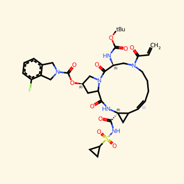 C=CC(=O)N1CCC/C=C\C2C[C@@]2(C(=O)NS(=O)(=O)C2CC2)NC(=O)C2C[C@@H](OC(=O)N3Cc4cccc(F)c4C3)CN2C(=O)[C@@H](NC(=O)OC(C)(C)C)C1